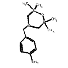 Cc1ccc(CN2C[Si](C)(C)O[Si](C)(C)C2)cc1